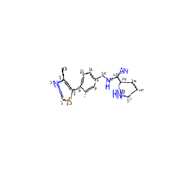 Cc1ncsc1-c1ccc(CNC(=N)C2CCCN2)cc1